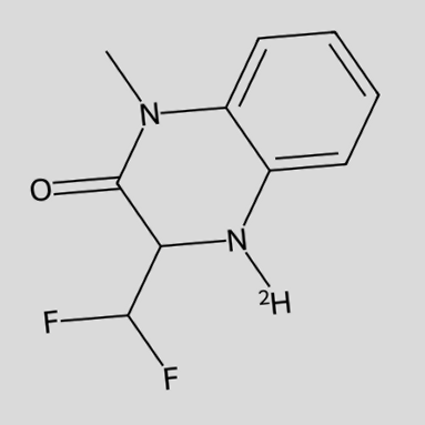 [2H]N1c2ccccc2N(C)C(=O)C1C(F)F